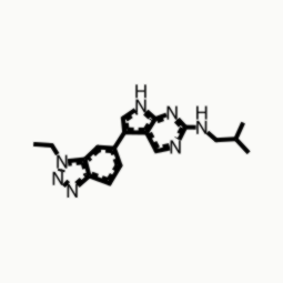 CCn1nnc2ccc(-c3c[nH]c4nc(NCC(C)C)ncc34)cc21